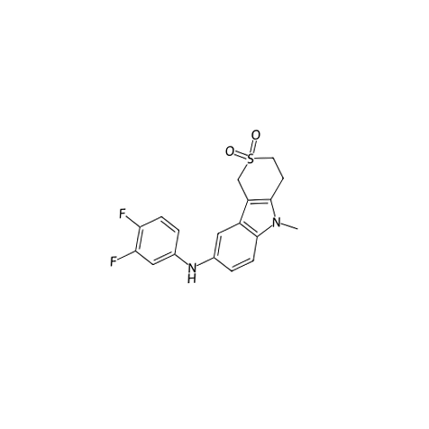 Cn1c2c(c3cc(Nc4ccc(F)c(F)c4)ccc31)CS(=O)(=O)CC2